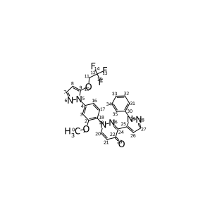 COc1cc(-n2nccc2OCC(F)(F)F)ccc1-n1ccc(=O)c(-c2ccnn2-c2ccccc2)n1